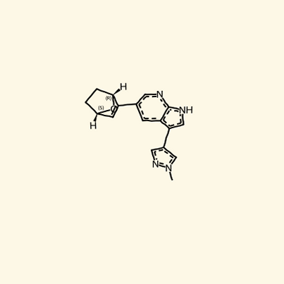 Cn1cc(-c2c[nH]c3ncc(C4=C[C@@H]5CC[C@H]4O5)cc23)cn1